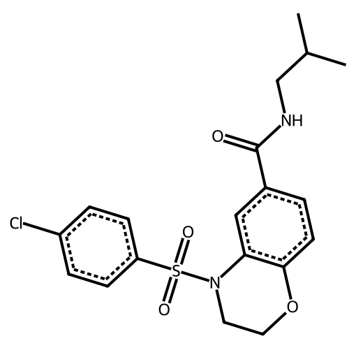 CC(C)CNC(=O)c1ccc2c(c1)N(S(=O)(=O)c1ccc(Cl)cc1)CCO2